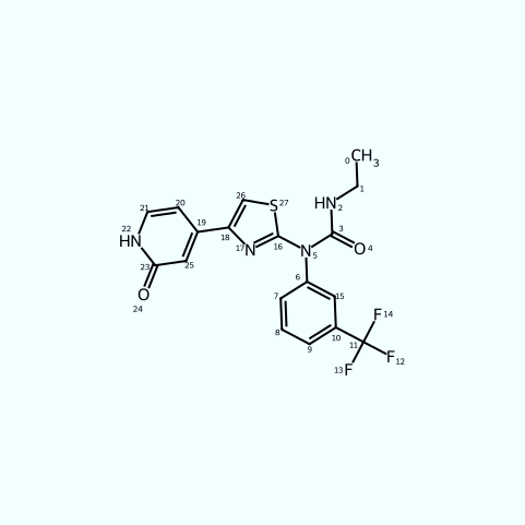 CCNC(=O)N(c1cccc(C(F)(F)F)c1)c1nc(-c2cc[nH]c(=O)c2)cs1